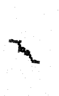 CCCCCCCCCCCCCCc1cnc(-c2ccc(OCCC(F)CCCCC)c(F)c2)nc1